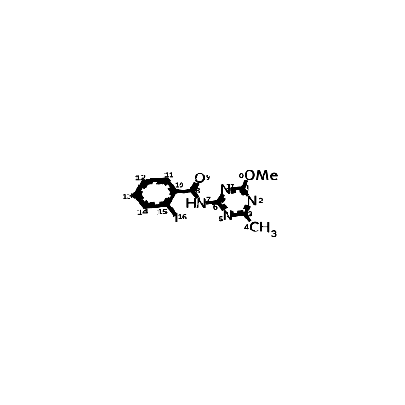 COc1nc(C)nc(NC(=O)c2ccccc2I)n1